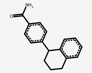 NC(=O)c1ccc(C2CCCc3ccccc32)cc1